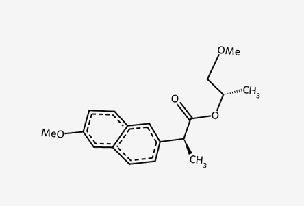 COC[C@H](C)OC(=O)[C@@H](C)c1ccc2cc(OC)ccc2c1